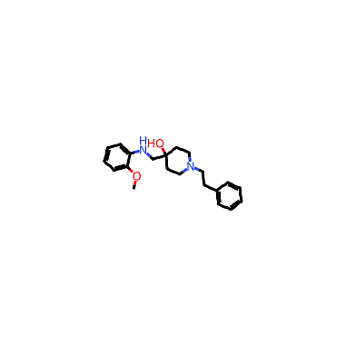 COc1ccccc1NCC1(O)CCN(CCc2ccccc2)CC1